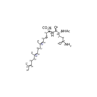 CC(=O)N[C@H](CCC(N)=O)C(=O)N[C@H](CSC/C=C(\C)CC/C=C(\C)CCC=C(C)C)C(=O)O